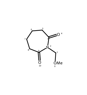 COCN1C(=O)CCCCC1=O